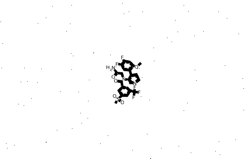 COc1cc(F)c(F)cc1-c1ccncc1N(CC(N)=O)C(=O)c1cc(C(F)(F)F)cc(S(C)(=O)=O)c1